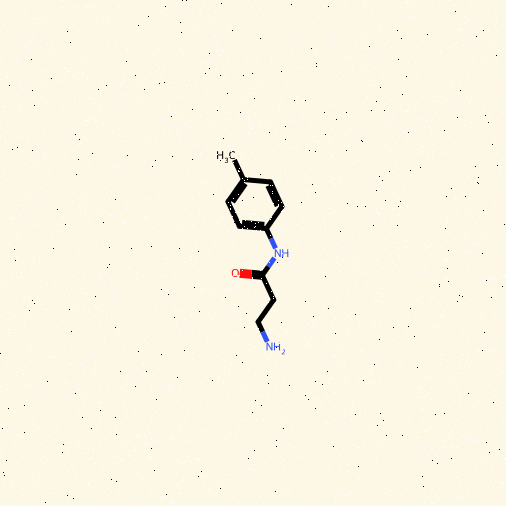 Cc1ccc(NC(=O)CCN)cc1